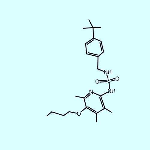 CCCCOc1c(C)nc(NS(=O)(=O)NCc2ccc(C(C)(C)C)cc2)c(C)c1C